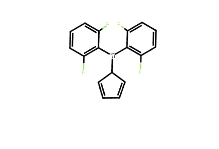 Fc1cccc(F)[c]1[Ti]([c]1c(F)cccc1F)[CH]1C=CC=C1